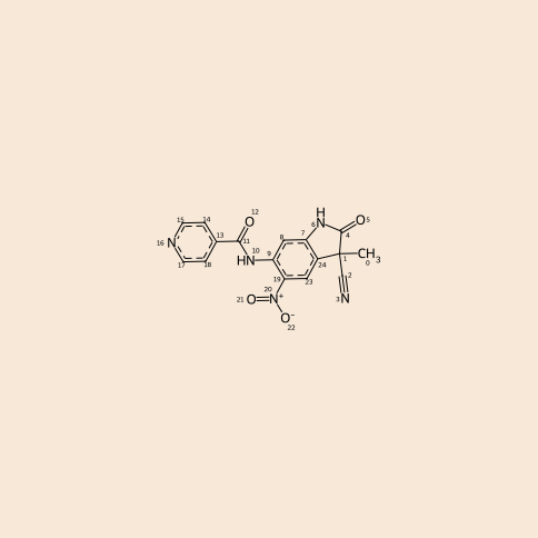 CC1(C#N)C(=O)Nc2cc(NC(=O)c3ccncc3)c([N+](=O)[O-])cc21